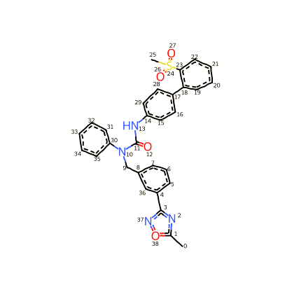 Cc1nc(-c2cccc(CN(C(=O)Nc3ccc(-c4ccccc4S(C)(=O)=O)cc3)c3ccccc3)c2)no1